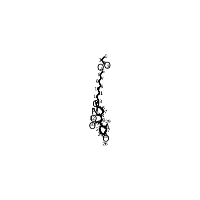 CCC(=O)OCCCCCCCCCOc1ccc2cc(-c3ccc(OC)cc3C)c(=O)oc2n1